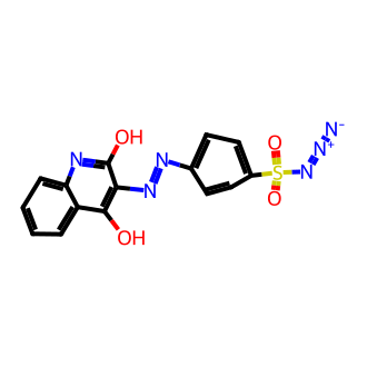 [N-]=[N+]=NS(=O)(=O)c1ccc(/N=N/c2c(O)nc3ccccc3c2O)cc1